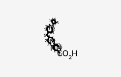 O=C(O)c1cnc(N2CCC(CC3CCN(C4CCC4)CC3)CC2)cn1